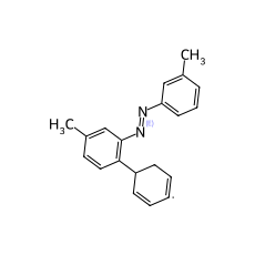 Cc1cccc(/N=N/c2cc(C)ccc2C2C=C[C]=CC2)c1